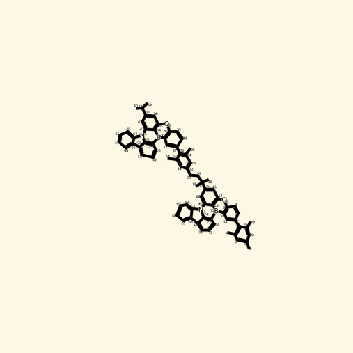 Cc1cc(C)c(-c2ccc3c(c2)B2c4c(cc(C(C)(C)CCc5cc(C)c(-c6ccc7c(c6)B6c8c(cc(C(C)C)cc8-n8c9ccccc9c9cccc6c98)O7)c(C)c5)cc4-n4c5ccccc5c5cccc2c54)O3)c(C)c1